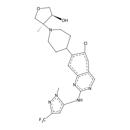 Cn1nc(C(F)(F)F)cc1Nc1ncc2cc(Cl)c(C3CCN([C@@]4(C)COC[C@H]4O)CC3)cc2n1